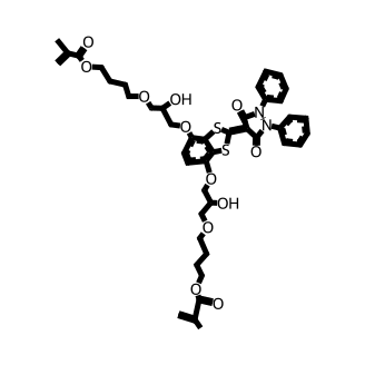 C=C(C)C(=O)OCCCCOCC(O)COc1ccc(OCC(O)COCCCCOC(=O)C(=C)C)c2c1SC(=C1C(=O)N(c3ccccc3)N(c3ccccc3)C1=O)S2